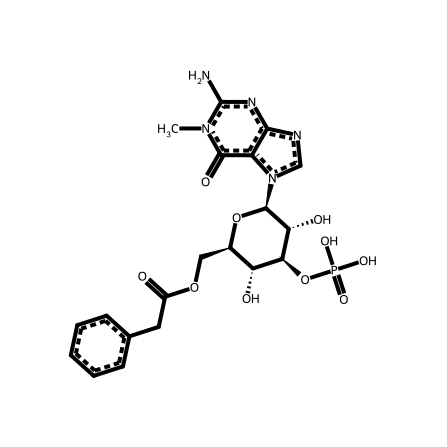 Cn1c(N)nc2ncn([C@@H]3O[C@H](COC(=O)Cc4ccccc4)[C@@H](O)[C@H](OP(=O)(O)O)[C@H]3O)c2c1=O